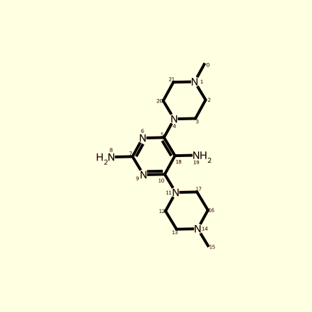 CN1CCN(c2nc(N)nc(N3CCN(C)CC3)c2N)CC1